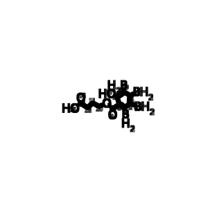 Bc1c(B)c(B)c(C(=O)OCCCC(=O)O)c(O)c1B